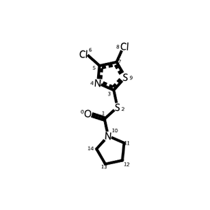 O=C(Sc1nc(Cl)c(Cl)s1)N1CCCC1